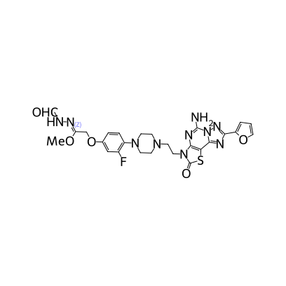 CO/C(COc1ccc(N2CCN(CCn3c(=O)sc4c3nc(N)n3nc(-c5ccco5)nc43)CC2)c(F)c1)=N\NC=O